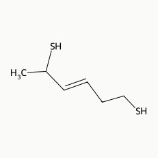 CC(S)C=CCCS